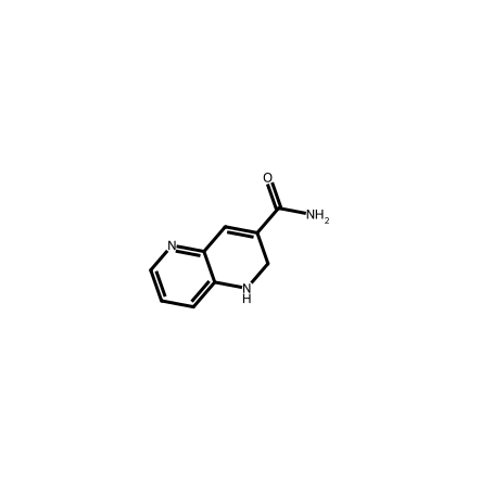 NC(=O)C1=Cc2ncccc2NC1